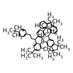 Cc1cc(C(C)(C)C)cc2c1B(c1cc3c(cc1C(C)c1cccc4c1-c1ccccc1C4(C)C)C(C)(C)CC3(C)C)c1cc(C(C)(C)C)ccc1C2CCc1ccc(C(C)(C)C)cc1